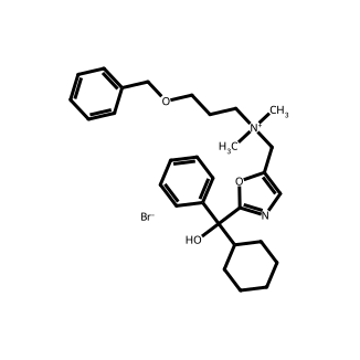 C[N+](C)(CCCOCc1ccccc1)Cc1cnc(C(O)(c2ccccc2)C2CCCCC2)o1.[Br-]